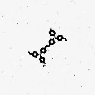 CCc1ccc(N(c2ccc(C)cc2)c2ccc(CCc3ccc(N(c4ccc(CC)cc4)c4ccc(OC)cc4)cc3)cc2)cc1